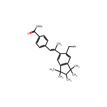 COC(=O)c1ccc(/C=C(\C)c2cc3c(cc2CC(C)C)C(C)(C)C(C)C3(C)C)cc1